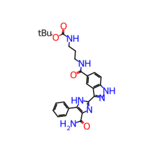 CC(C)(C)OC(=O)NCCCNC(=O)c1ccc2[nH]nc(-c3nc(C(N)=O)c(-c4ccccc4)[nH]3)c2c1